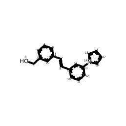 OCc1cccc(C=Cc2cccc(-n3cccc3)c2)c1